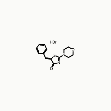 Br.O=C1N=C(N2CCOCC2)S/C1=C\c1ccccc1